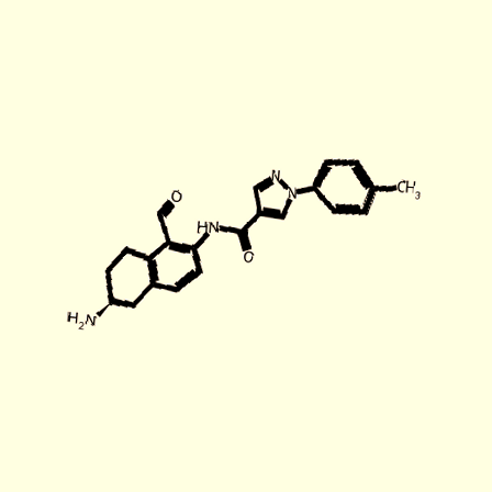 Cc1ccc(-n2cc(C(=O)Nc3ccc4c(c3C=O)CC[C@H](N)C4)cn2)cc1